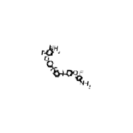 CC(C)(c1ccc(Oc2ccc(N)cc2F)cc1)c1cccc(C(C)(C)c2ccc(Oc3ccc(N)cc3F)cc2)c1